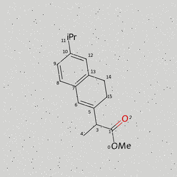 COC(=O)C(C)C1=Cc2ccc(C(C)C)cc2CC1